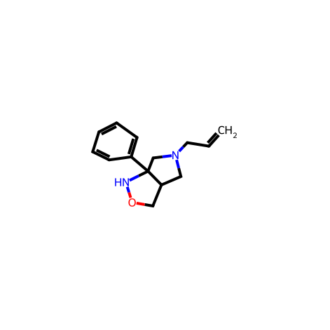 C=CCN1CC2CONC2(c2ccccc2)C1